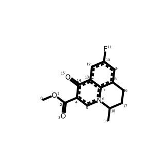 COC(=O)c1cn2c3c(cc(F)cc3c1=O)CCC2C